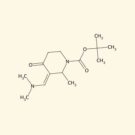 CC1/C(=C/N(C)C)C(=O)CCN1C(=O)OC(C)(C)C